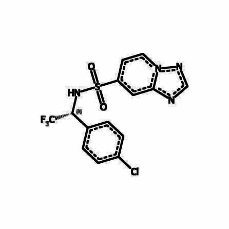 O=S(=O)(N[C@H](c1ccc(Cl)cc1)C(F)(F)F)c1ccn2ncnc2c1